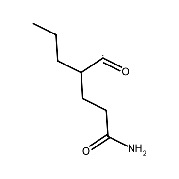 CCCC([C]=O)CCC(N)=O